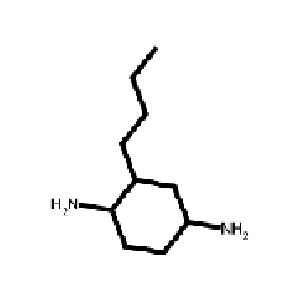 CCCCC1CC(N)CCC1N